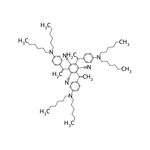 C=C(c1ccc(N(CCCCCC)CCCCCC)cc1)c1c(C#N)c(C(=C)c2ccc(N(CCCCCC)CCCCCC)cc2)c(C#N)c(C(=C)c2ccc(N(CCCCCC)CCCCCC)cc2)c1C#N